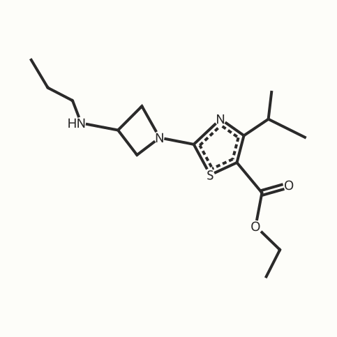 CCCNC1CN(c2nc(C(C)C)c(C(=O)OCC)s2)C1